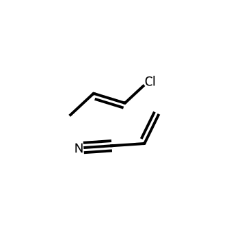 C=CC#N.CC=CCl